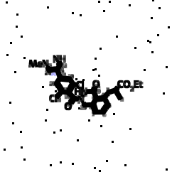 CCOC(=O)C(C)Cc1cccc2c1C(=O)NN(C(=O)c1c(Cl)cc(/C(C=N)=C/NC)cc1Cl)C2